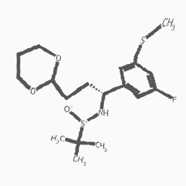 CSc1cc(F)cc([C@@H](CCC2OCCCO2)N[S+]([O-])C(C)(C)C)c1